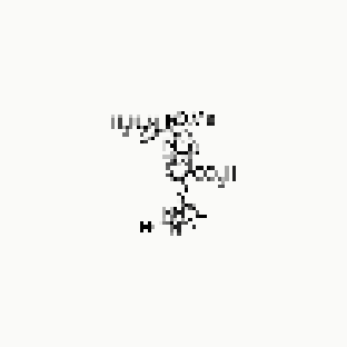 CO/N=C(\C(=O)N[C@@H]1C(=O)N2C(C(=O)O)=C(CSc3cc(C)nc4nc(C#N)nn34)CS[C@H]12)c1csc(N)n1